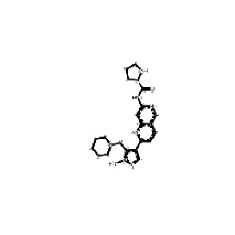 Cn1ncc(-c2ccc3cnc(NC(=O)[C@H]4CCCN4)cc3n2)c1CN1CCCCC1